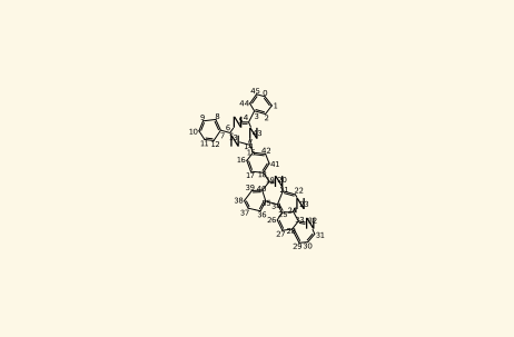 c1ccc(-c2nc(-c3ccccc3)nc(-c3ccc(-c4nc5cnc6c(ccc7cccnc76)c5c5ccccc45)cc3)n2)cc1